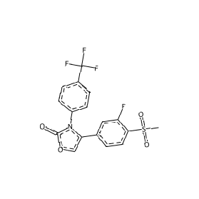 CS(=O)(=O)c1ccc(-c2coc(=O)n2-c2ccc(C(F)(F)F)cc2)cc1F